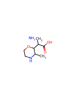 CC1NCCOC1C(C)C(=O)O.N